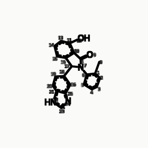 Cc1ccccc1N1C(=O)c2c(O)cccc2C1c1ccc2[nH][c]nc2c1